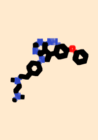 CN(C)CCN(C)CCC1CCC(n2cc(-c3ccc(Oc4ccccc4)cc3)c3c(N)ncnc32)CC1